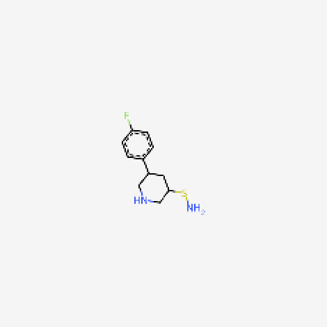 NSC1CNCC(c2ccc(F)cc2)C1